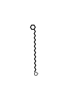 [O]CCCCCCCCCCCCCCCCCCCCC1CCCCC1